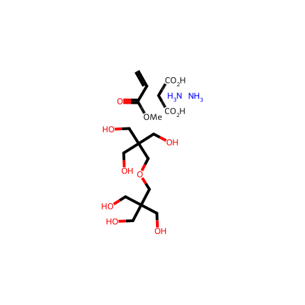 C=CC(=O)OC.N.N.O=C(O)CC(=O)O.OCC(CO)(CO)COCC(CO)(CO)CO